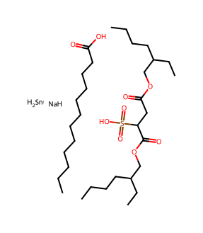 CCCCC(CC)COC(=O)CC(C(=O)OCC(CC)CCCC)S(=O)(=O)O.CCCCCCCCCCCC(=O)O.[NaH].[SnH2]